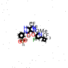 COc1nc(C2(C(F)(F)F)CCC2)cc(F)c1Oc1nnc(C(F)(F)F)c(C)c1C(=O)Nc1cccc(S(C)(=O)=O)c1